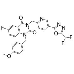 COc1ccc(Cn2c(=O)n(Cc3ccc(-c4nnc(C(F)F)o4)cn3)c(=O)c3cc(F)ccc32)cc1